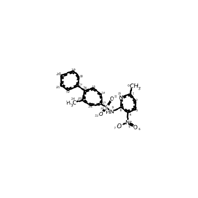 Cc1ccc([N+](=O)[O-])c(NS(=O)(=O)c2ccc(-c3ccccc3)c(C)c2)n1